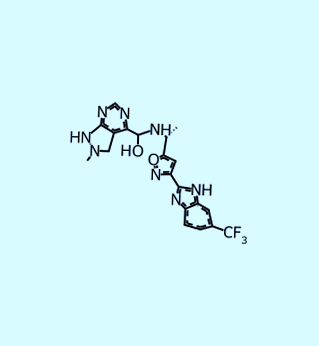 C[C@@H](NC(O)c1ncnc2c1CN(C)N2)c1cc(-c2nc3ccc(C(F)(F)F)cc3[nH]2)no1